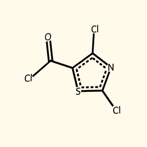 O=C(Cl)c1sc(Cl)nc1Cl